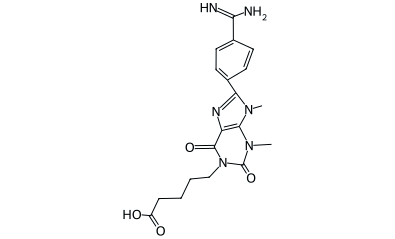 Cn1c(-c2ccc(C(=N)N)cc2)nc2c(=O)n(CCCCC(=O)O)c(=O)n(C)c21